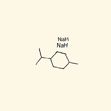 CC1CCC(C(C)C)CC1.[NaH].[NaH]